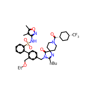 CCCCC1=NC2(CCN(C(=O)[C@H]3CC[C@@H](C(F)(F)F)CC3)CC2)C(=O)N1Cc1ccc(-c2ccccc2S(=O)(=O)Nc2noc(C)c2C)c(COCC)c1